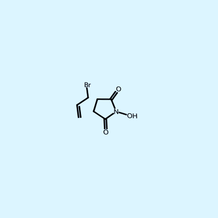 C=CCBr.O=C1CCC(=O)N1O